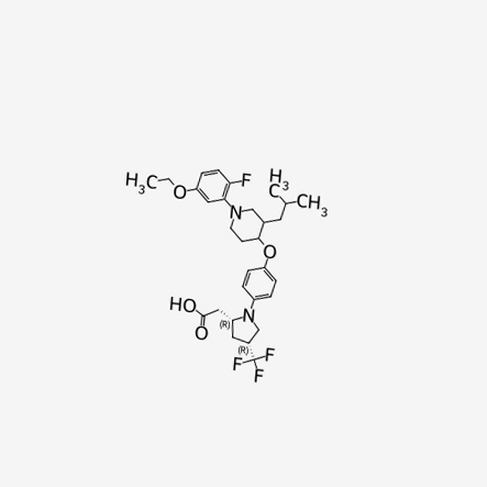 CCOc1ccc(F)c(N2CCC(Oc3ccc(N4C[C@H](C(F)(F)F)C[C@@H]4CC(=O)O)cc3)C(CC(C)C)C2)c1